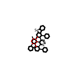 Cc1cc2c(c(-c3c(-c4ccccc4-c4ccccc4)nnnc3-c3c(-c4ccccc4)cc4[se]c5ccccc5c4c3-c3ccccc3)c1C)Cc1ccccc1-2